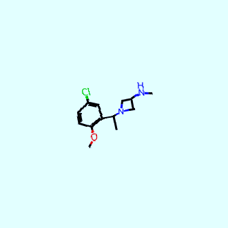 CNC1CN(C(C)c2cc(Cl)ccc2OC)C1